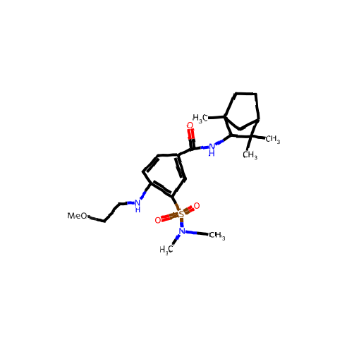 COCCNc1ccc(C(=O)NC2C3(C)CCC(C3)C2(C)C)cc1S(=O)(=O)N(C)C